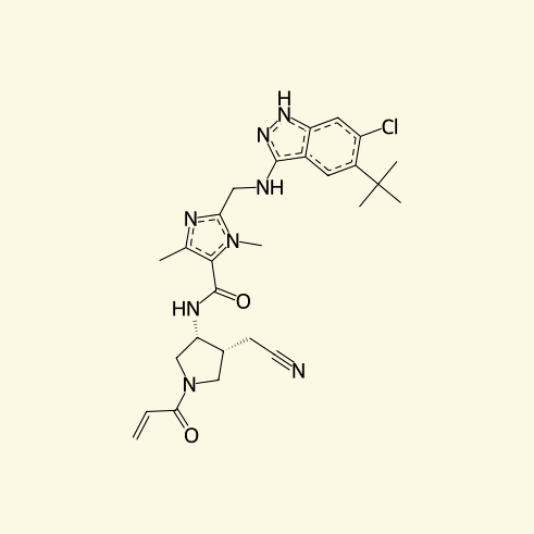 C=CC(=O)N1C[C@@H](CC#N)[C@@H](NC(=O)c2c(C)nc(CNc3n[nH]c4cc(Cl)c(C(C)(C)C)cc34)n2C)C1